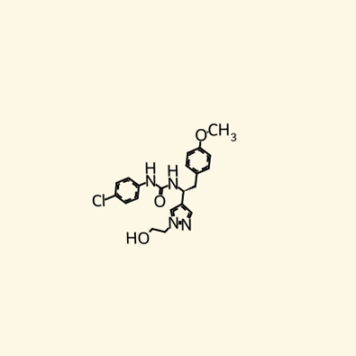 COc1ccc(C[C@H](NC(=O)Nc2ccc(Cl)cc2)c2cnn(CCO)c2)cc1